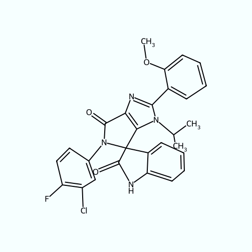 COc1ccccc1-c1nc2c(n1C(C)C)C1(C(=O)Nc3ccccc31)N(c1ccc(F)c(Cl)c1)C2=O